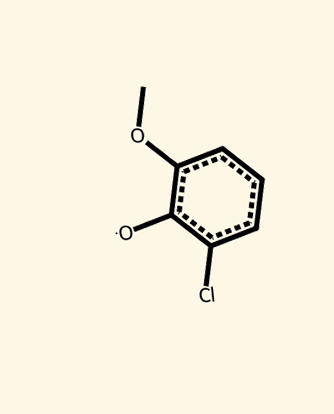 COc1cccc(Cl)c1[O]